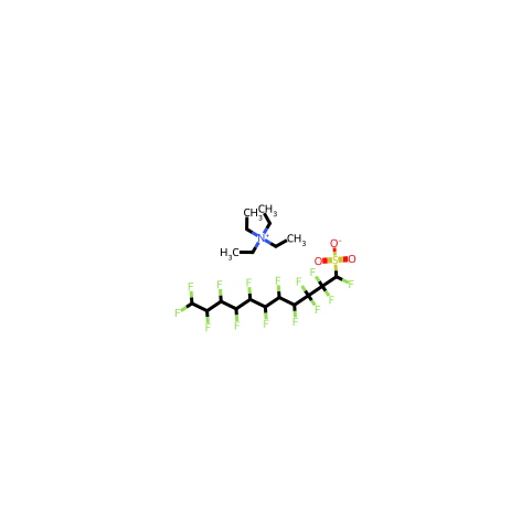 CC[N+](CC)(CC)CC.O=S(=O)([O-])C(F)C(F)(F)C(F)(F)C(F)C(F)C(F)C(F)C(F)C(F)C(F)C(F)F